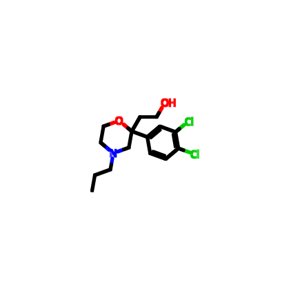 CCCN1CCOC(CCO)(c2ccc(Cl)c(Cl)c2)C1